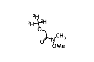 [2H]C([2H])([2H])OCC(=O)N(C)OC